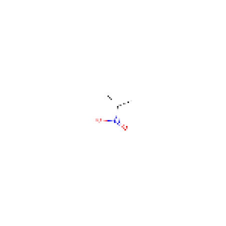 CC(C)[N+](=O)O